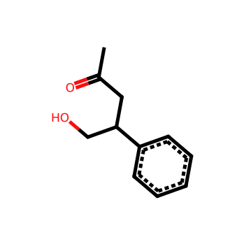 CC(=O)CC(CO)c1ccccc1